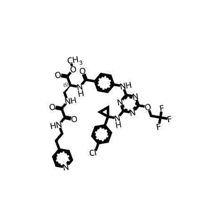 COC(=O)[C@H](CNC(=O)C(=O)NCCc1ccncc1)NC(=O)c1ccc(Nc2nc(NC3(c4ccc(Cl)cc4)CC3)nc(OCC(F)(F)F)n2)cc1